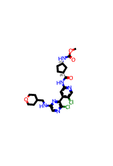 COC(=O)N[C@H]1CC[C@@H](C(=O)Nc2cc(-c3nc(NCC4CCOCC4)cnc3Cl)c(Cl)cn2)C1